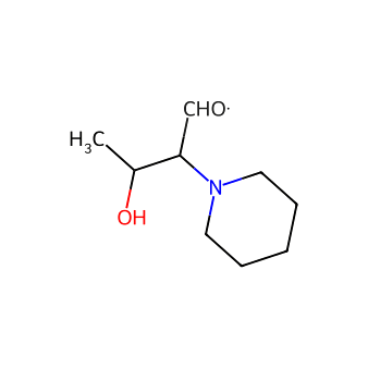 CC(O)C([C]=O)N1CCCCC1